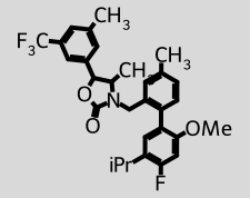 COc1cc(F)c(C(C)C)cc1-c1ccc(C)cc1CN1C(=O)OC(c2cc(C)cc(C(F)(F)F)c2)C1C